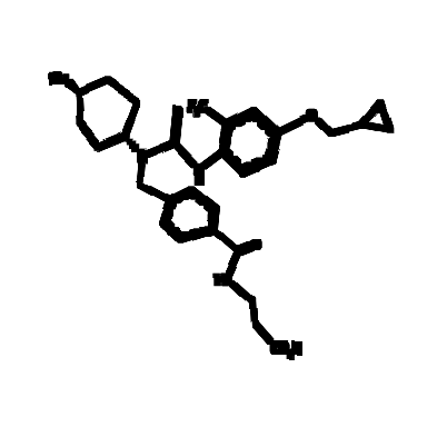 CC(C)(C)[C@H]1CC[C@H](N(Cc2ccc(C(=O)NCCC(=O)O)cc2)C(=O)Nc2ccc(OCC3CC3)cc2C(F)(F)F)CC1